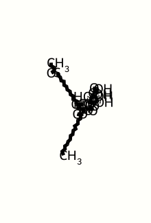 CCCCCCCCCCCCCCCC(=O)O[C@@H](COP(=O)(O)OC1C(O)[C@H](O)C(OP(=O)(O)O)[C@H](O)[C@@H]1O)CC(=O)OCCCCCCCCCCCCSC(=O)CCC